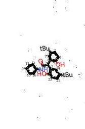 CC(C)(C)c1ccc(O)c(C(C(=O)Nc2ccccc2)c2cc(C(C)(C)C)ccc2O)c1